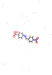 O=C(O)C1CCC(/N=C/c2ccc([N+](=O)[O-])cc2)CC1